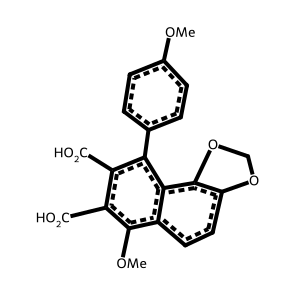 COc1ccc(-c2c(C(=O)O)c(C(=O)O)c(OC)c3ccc4c(c23)OCO4)cc1